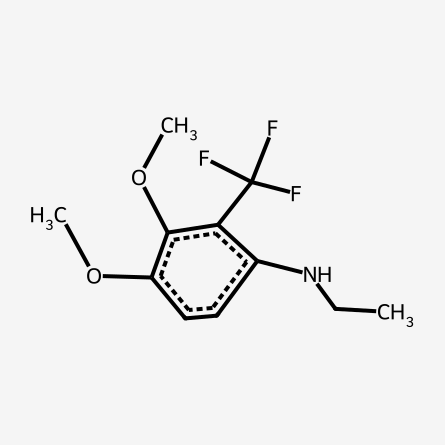 CCNc1ccc(OC)c(OC)c1C(F)(F)F